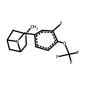 CN1CC2CC(C1)N2Cc1ccc(OC(F)(F)F)c(F)c1